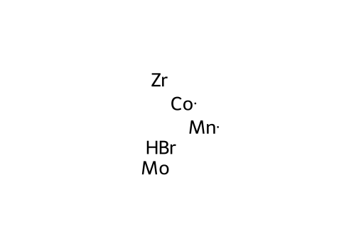 Br.[Co].[Mn].[Mo].[Zr]